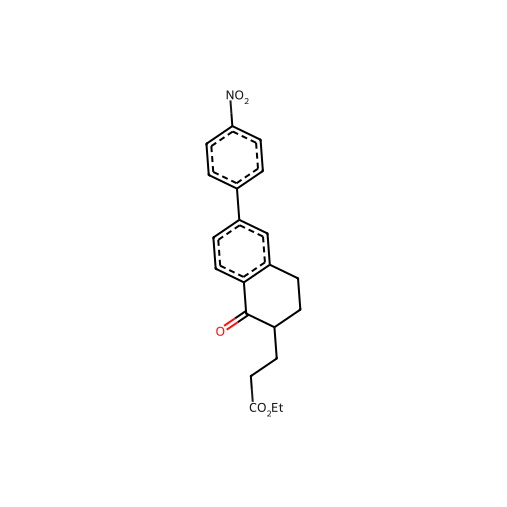 CCOC(=O)CCC1CCc2cc(-c3ccc([N+](=O)[O-])cc3)ccc2C1=O